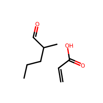 C=CC(=O)O.CCCC(C)C=O